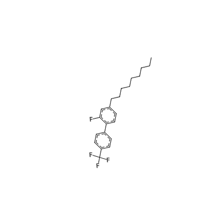 CCCCCCCCCc1ccc(-c2ccc(C(F)(F)F)cc2)c(F)c1